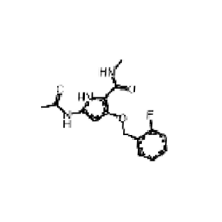 CNC(=O)c1[nH]c(NC(C)=O)cc1OCc1ccccc1F